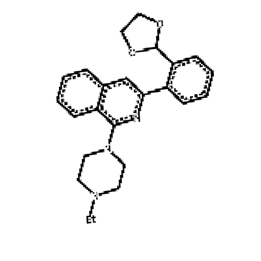 CCN1CCN(c2nc(-c3ccccc3C3OCCO3)cc3ccccc23)CC1